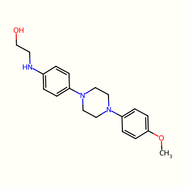 COc1ccc(N2CCN(c3ccc(NCCO)cc3)CC2)cc1